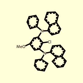 COc1cc(N(c2ccccc2)c2cccc3ccccc23)c(Cl)c(N(c2ccccc2)c2cccc3ccccc23)c1